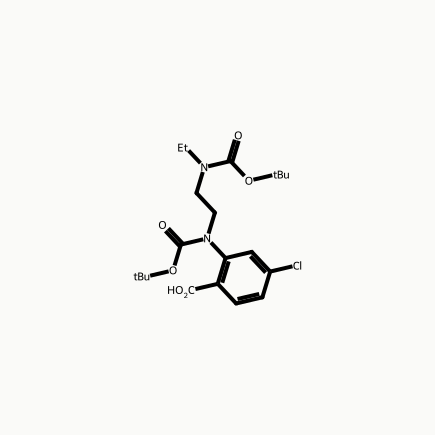 CCN(CCN(C(=O)OC(C)(C)C)c1cc(Cl)ccc1C(=O)O)C(=O)OC(C)(C)C